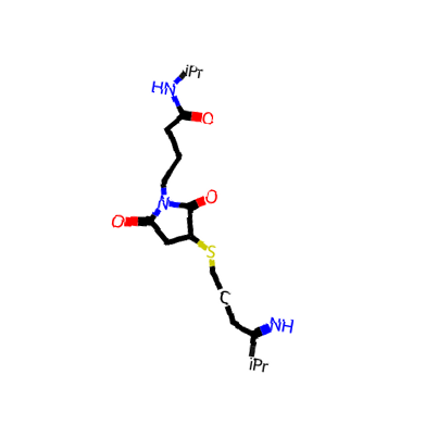 CC(C)NC(=O)CCCN1C(=O)CC(SCCCC(=N)C(C)C)C1=O